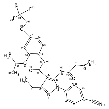 CCc1nn(-c2ccc(C#N)cn2)c(NC(=O)CSC)c1C(=O)Nc1ccc(OCC(F)(F)F)cc1OC(C)C